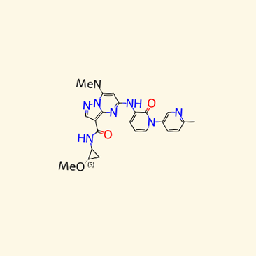 CNc1cc(Nc2cccn(-c3ccc(C)nc3)c2=O)nc2c(C(=O)NC3C[C@@H]3OC)cnn12